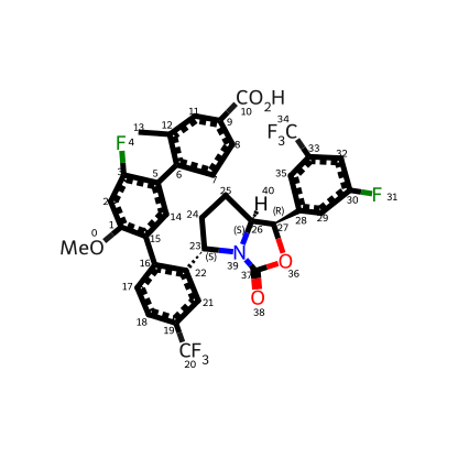 COc1cc(F)c(-c2ccc(C(=O)O)cc2C)cc1-c1ccc(C(F)(F)F)cc1[C@@H]1CC[C@H]2[C@@H](c3cc(F)cc(C(F)(F)F)c3)OC(=O)N12